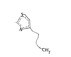 CCCc1cs[c]n1